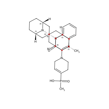 C[C@@H]1C[C@@H]2C[C@H](C1)C[C@@H](N1[C@@H]3CCC[C@H]1C[C@@H](n1c(=O)c(N4CC=C(P(C)(=O)O)CC4)nc4ccccc41)C3)C2